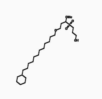 COC(CCOCCCCCCCCCCCCC1CCCCC1)S(=O)(=O)CCCO